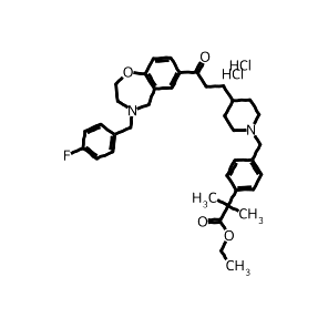 CCOC(=O)C(C)(C)c1ccc(CN2CCC(CCC(=O)c3ccc4c(c3)CN(Cc3ccc(F)cc3)CCO4)CC2)cc1.Cl.Cl